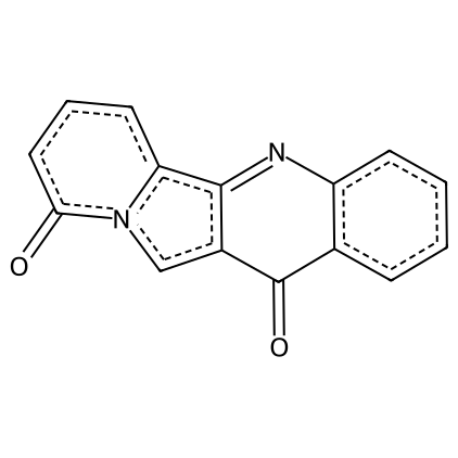 O=C1c2ccccc2N=c2c1cn1c(=O)cccc21